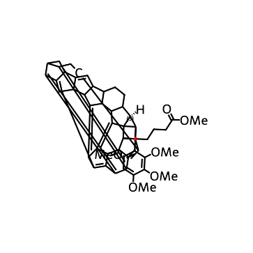 COC(=O)CCCC1(c2c(OC)cc(OC)c(OC)c2OC)C23c4c5c6c7c8c9c%10c6c6c4=C4CCC=6C%10CC9C6=CC9C%10CCC%11C%12C(=C5C7=C(C9C68)C%10%12)C25[C@@H]%11C15C43